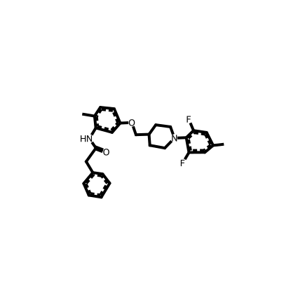 Cc1cc(F)c(N2CCC(COc3ccc(C)c(NC(=O)Cc4ccccc4)c3)CC2)c(F)c1